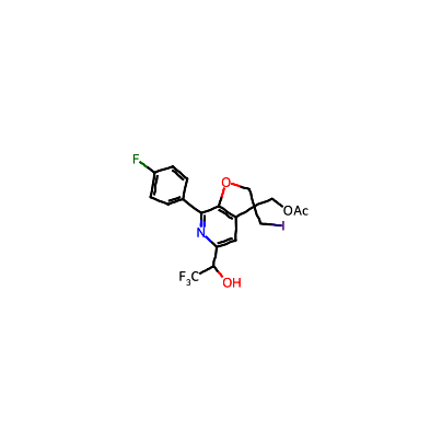 CC(=O)OCC1(CI)COc2c1cc(C(O)C(F)(F)F)nc2-c1ccc(F)cc1